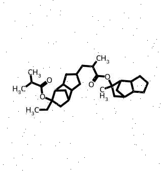 CCC1(OC(=O)C(C)C)CC2CC1C1CC(CC(C)C(=O)OC3(C)CC4CC3C3CCCC43)CC21